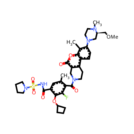 COC[C@H]1CN(c2ccc3c4c(c(=O)oc3c2C)CN(C(=O)c2c(C)cc(C(=O)NS(=O)(=O)N3CCCC3)c(OC3CCC3)c2F)CC4)CCN1C